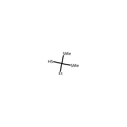 CCC(S)(SC)SC